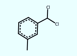 Cc1cccc(C(Cl)Cl)c1